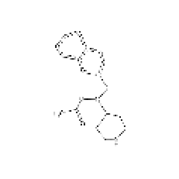 O=C(ON(Cc1ccc2ccccc2c1)C1CCNCC1)C(F)(F)F